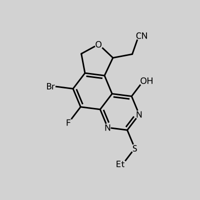 CCSc1nc(O)c2c3c(c(Br)c(F)c2n1)COC3CC#N